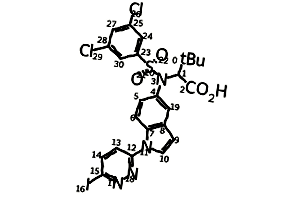 CC(C)(C)C(C(=O)O)N(c1ccc2c(ccn2-c2ccc(I)nn2)c1)S(=O)(=O)c1cc(Cl)cc(Cl)c1